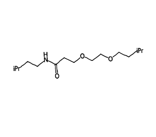 CC(C)CCNC(=O)CCOCCOCCC(C)C